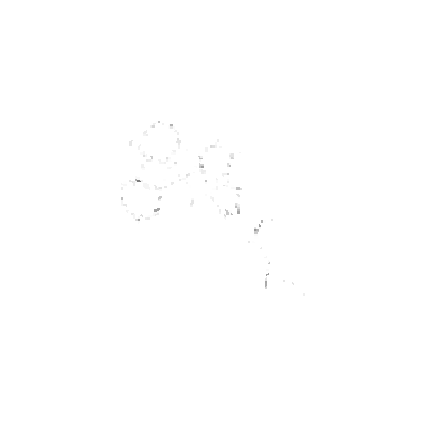 CC(C)(ON=C(C(=O)O)c1csc(NC(c2ccccc2)(c2ccccc2)c2ccccc2)n1)C(=O)O